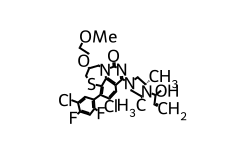 C=CC(O)N1[C@H](C)CN(c2nc(=O)n3c4c(c(-c5cc(Cl)c(F)cc5F)c(Cl)cc24)SCC(OCCOC)C3)C[C@@H]1C